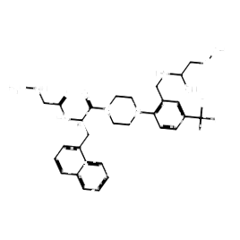 CNCC(=O)N[C@H](Cc1cccc2ccccc12)C(=O)N1CCN(c2ccc(C(F)(F)F)cc2CNC(C)COC)CC1